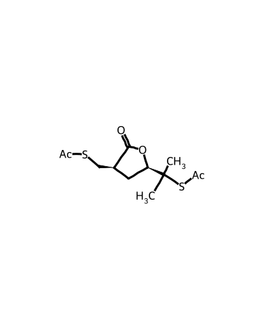 CC(=O)SC[C@@H]1C[C@H](C(C)(C)SC(C)=O)OC1=O